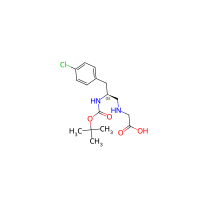 CC(C)(C)OC(=O)N[C@H](CNCC(=O)O)Cc1ccc(Cl)cc1